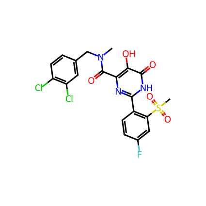 CN(Cc1ccc(Cl)c(Cl)c1)C(=O)c1nc(-c2ccc(F)cc2S(C)(=O)=O)[nH]c(=O)c1O